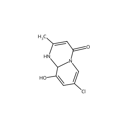 CC1=CC(=O)N2C=C(Cl)C=C(O)C2N1